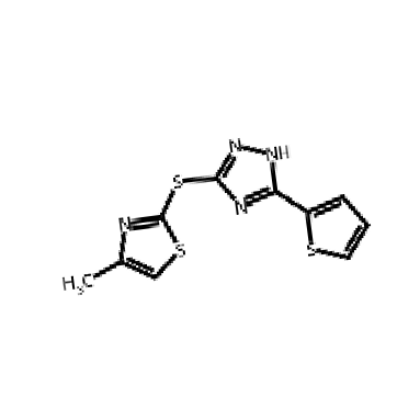 Cc1csc(Sc2n[nH]c(-c3cccs3)n2)n1